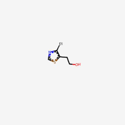 CCc1ncsc1CCO